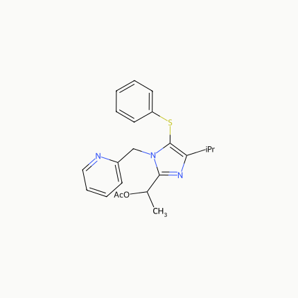 CC(=O)OC(C)c1nc(C(C)C)c(Sc2ccccc2)n1Cc1ccccn1